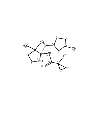 CC1(C)CCN[C@]1(CN1CCC(O)C1)NC(=O)C1(F)CC1